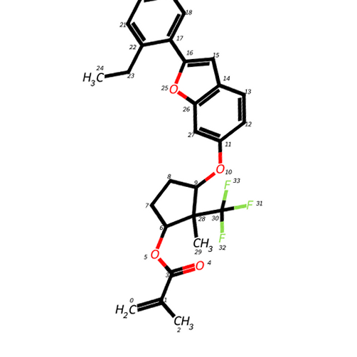 C=C(C)C(=O)OC1CCC(Oc2ccc3cc(-c4ccccc4CC)oc3c2)C1(C)C(F)(F)F